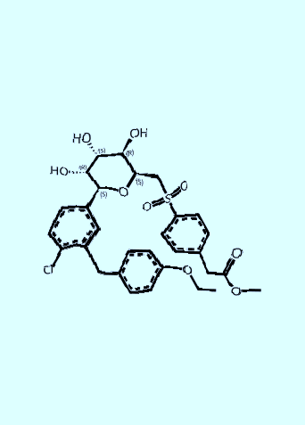 CCOc1ccc(Cc2cc([C@@H]3O[C@H](CS(=O)(=O)c4ccc(CC(=O)OC)cc4)[C@H](O)[C@@H](O)[C@H]3O)ccc2Cl)cc1